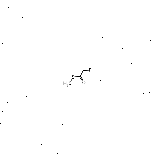 CSC(=O)CF